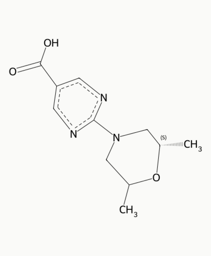 CC1CN(c2ncc(C(=O)O)cn2)C[C@H](C)O1